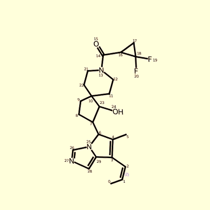 C/C=C\C1=C(C)C(C2CCC3(CCN(C(=O)C4CC4(F)F)CC3)C2O)n2cncc21